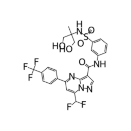 CC(CO)(CO)NS(=O)(=O)c1cccc(NC(=O)c2cnn3c(C(F)F)cc(-c4ccc(C(F)(F)F)cc4)nc23)c1